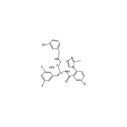 CCc1cccc(CNC[C@@H](O)[C@H](Cc2cc(F)cc(F)c2)NC(=O)c2cc(Cl)ccc2-n2cnnc2C)c1